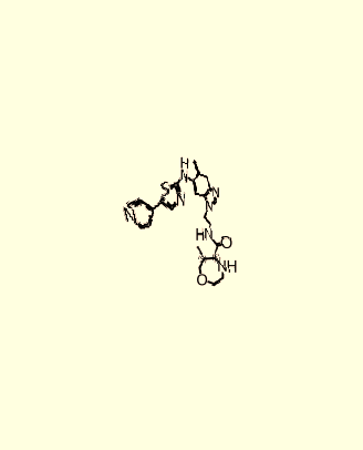 C=C1Cc2ncn(CCNC(=O)[C@H]3NCCOC[C@H]3C)c2C=C1Nc1ncc(-c2ccncc2)s1